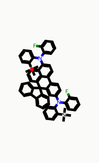 C[Si](C)(C)c1ccccc1N(c1ccc2c(c1)C1(c3ccccc3-c3ccccc31)c1cccc3c(N(c4ccccc4F)c4ccccc4[Si](C)(C)C)ccc-2c13)c1ccccc1F